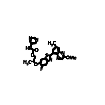 COc1cnc2c(-c3nc4cc(F)c(O[C@@H](C)COC(=O)Nc5cncnc5)cc4s3)cc(C)cc2n1